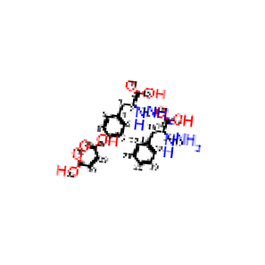 NN[C@@H](Cc1ccccc1)C(=O)O.NN[C@@H](Cc1ccccc1)C(=O)O.O=C(O)/C=C\C(=O)O